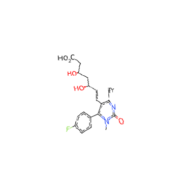 CC(C)c1nc(=O)n(C)c(-c2ccc(F)cc2)c1/C=C/[C@@H](O)C[C@@H](O)CC(=O)O